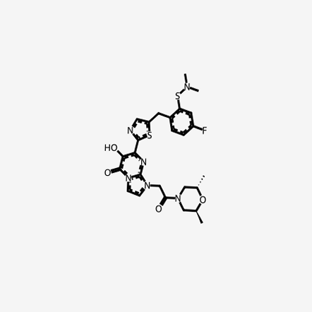 C[C@H]1CN(C(=O)Cn2ccn3c(=O)c(O)c(-c4ncc(Cc5ccc(F)cc5SN(C)C)s4)nc23)C[C@H](C)O1